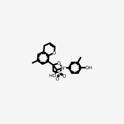 Cc1cc2c(c(C34CS(=O)(=O)[N+](c5ccc(O)c(C)c5)(O3)C4O)c1)OC=CC2